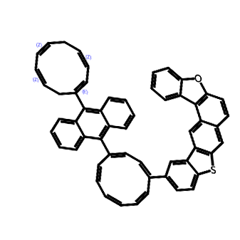 C1=C\C/C=C\C=C(\c2c3ccccc3c(-c3ccccccc(-c4ccc5sc6cc7ccc8oc9ccccc9c8c7cc6c5c4)cc3)c3ccccc23)C\C=C/1